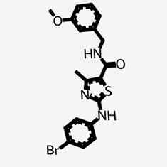 COc1cccc(CNC(=O)c2sc(Nc3ccc(Br)cc3)nc2C)c1